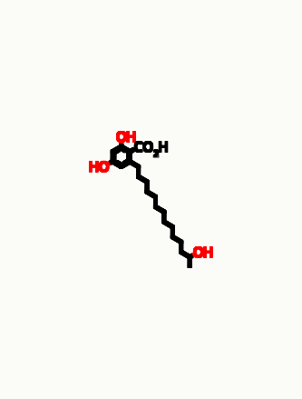 CC(O)CCCCCCCCCCCCc1cc(O)cc(O)c1C(=O)O